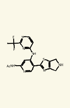 CC(=O)Nc1cc(Nc2ccnc(C(C)(F)F)n2)c(-c2nc3c(s2)CNC3)cn1